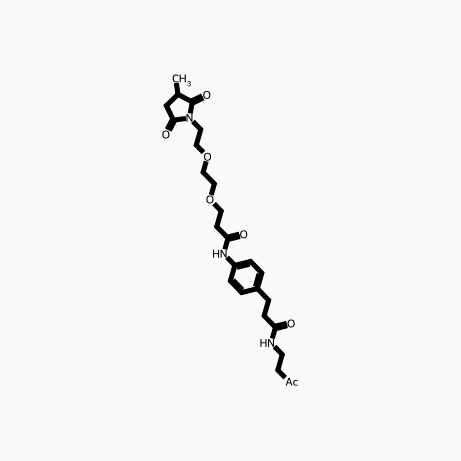 CC(=O)CCNC(=O)CCc1ccc(NC(=O)CCOCCOCCN2C(=O)CC(C)C2=O)cc1